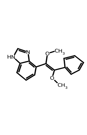 COC(=C(OC)c1cccc2[nH]cnc12)c1ccccc1